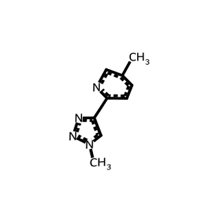 Cc1ccc(-c2cn(C)nn2)nc1